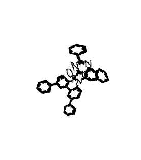 O=P1(c2nc(-c3ccccc3)nc(-c3ccccc3)n2)c2ccc(-c3ccccc3)cc2-c2cc(-c3ccccc3)ccc2N1c1ccccc1